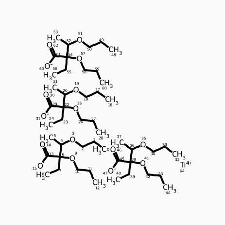 CCCOC(C)C(CC)(OCCC)C(=O)[O-].CCCOC(C)C(CC)(OCCC)C(=O)[O-].CCCOC(C)C(CC)(OCCC)C(=O)[O-].CCCOC(C)C(CC)(OCCC)C(=O)[O-].[Ti+4]